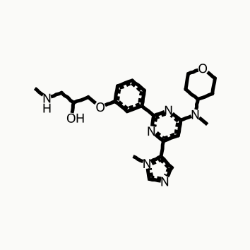 CNCC(O)COc1cccc(-c2nc(-c3cncn3C)cc(N(C)C3CCOCC3)n2)c1